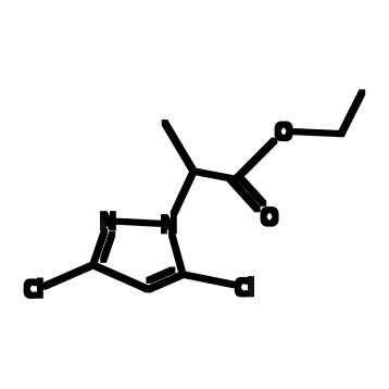 CCOC(=O)C(C)n1nc(Cl)cc1Cl